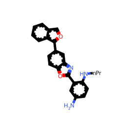 CCCNc1ccc(N)cc1-c1nc2cc(-c3occ4ccccc34)ccc2o1